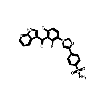 NS(=O)(=O)c1ccc(C2=CN(c3ccc(F)c(C(=O)c4c[nH]c5ncccc45)c3F)CO2)cc1